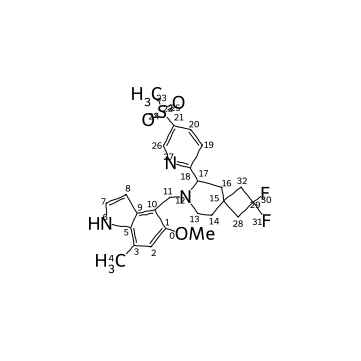 COc1cc(C)c2[nH]ccc2c1CN1CCC2(CC1c1ccc(S(C)(=O)=O)cn1)CC(F)(F)C2